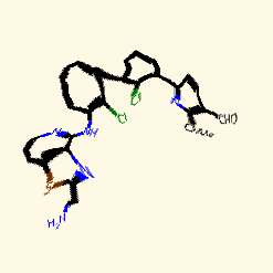 COc1nc(-c2cccc(-c3cccc(Nc4nccc5sc(CN)nc45)c3Cl)c2Cl)ccc1C=O